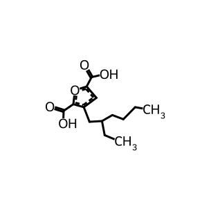 CCCCC(CC)Cc1cc(C(=O)O)oc1C(=O)O